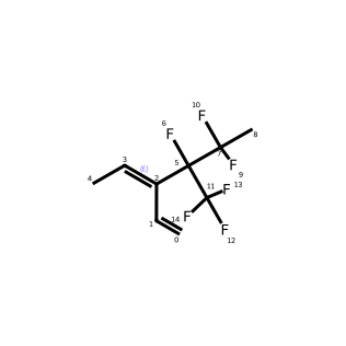 C=C/C(=C\C)C(F)(C(C)(F)F)C(F)(F)F